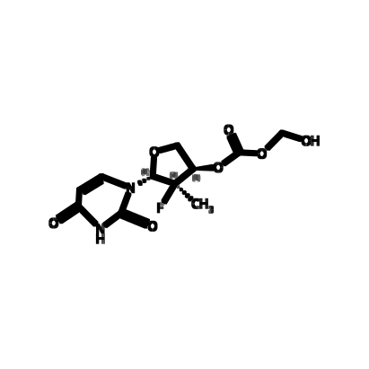 C[C@@]1(F)[C@H](OC(=O)OCO)CO[C@H]1n1ccc(=O)[nH]c1=O